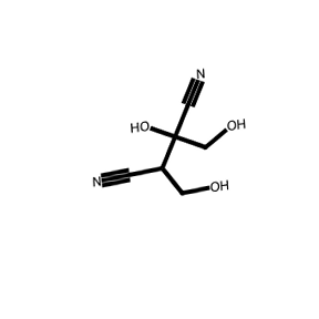 N#CC(CO)C(O)(C#N)CO